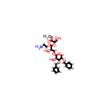 COC(=O)C(CO)OC(OCCN)C(O)COC1OCC(OCc2ccccc2)C(OCc2ccccc2)C1O